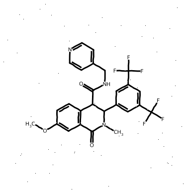 COc1ccc2c(c1)C(=O)N(C)C(c1cc(C(F)(F)F)cc(C(F)(F)F)c1)C2C(=O)NCc1ccncc1